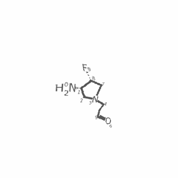 N[C@H]1CN(CC=O)C[C@H]1F